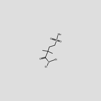 CCN(CC)C(=O)C(C)(C)CCS(=O)(=O)C(C)(C)C